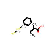 CC=C(C)C(=O)O.CS.CS.c1ccccc1